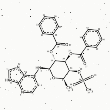 C[C@H]1O[C@@H](Nc2ncnc3[nH]cnc23)[C@H](OC(=O)c2ccccc2)[C@@H](OC(=O)c2ccccc2)[C@H]1OS(C)(=O)=O